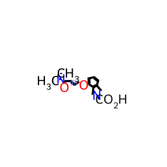 CN(C)C(=O)/C=C/COc1cccc2c1CN(C(=O)O)C2